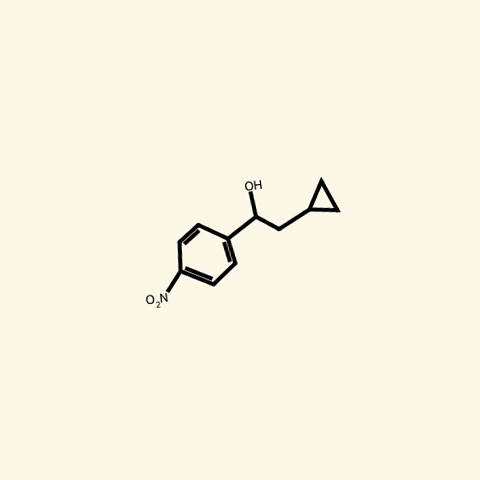 O=[N+]([O-])c1ccc(C(O)CC2CC2)cc1